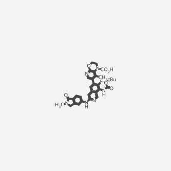 Cc1c(-c2cc3cc(Nc4ccc5c(c4)CN(C)C5=O)ncc3c(NC(=O)OC(C)(C)C)c2F)cnc2c1N(C(=O)O)CCO2